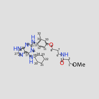 COCCC(=O)NCCCOc1ccc(Nc2nc(NC3CCCCC3)c3nc[nH]c3n2)c(C)c1